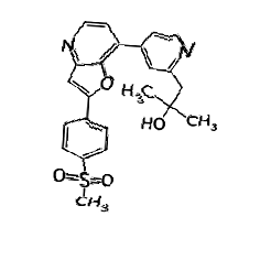 CC(C)(O)Cc1cc(-c2ccnc3cc(-c4ccc(S(C)(=O)=O)cc4)oc23)ccn1